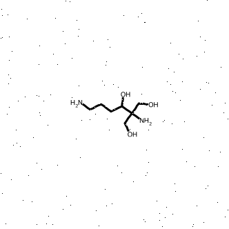 NCCCC(O)C(N)(CO)CO